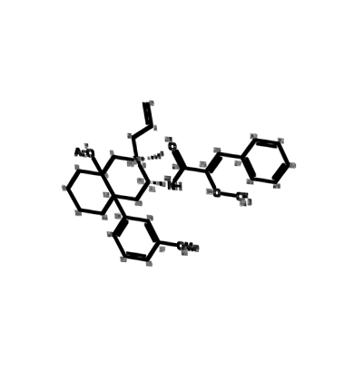 C=CC[N@+]1(C)CC2(OC(C)=O)CCCCC2(c2cccc(OC)c2)C[C@H]1NC(=O)C(=Cc1ccccc1)OC(F)(F)F